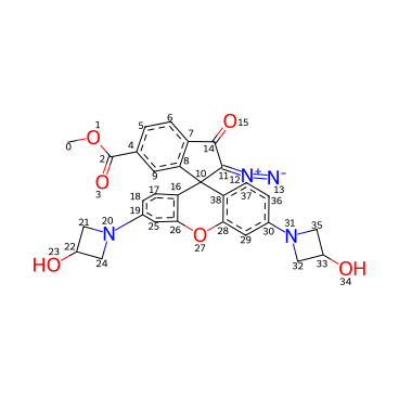 COC(=O)c1ccc2c(c1)C1(C(=[N+]=[N-])C2=O)c2ccc(N3CC(O)C3)cc2Oc2cc(N3CC(O)C3)ccc21